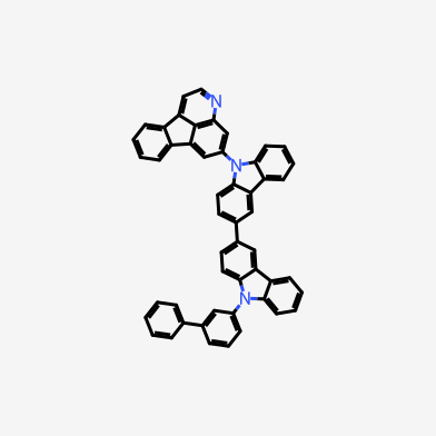 c1ccc(-c2cccc(-n3c4ccccc4c4cc(-c5ccc6c(c5)c5ccccc5n6-c5cc6c7c(ccnc7c5)-c5ccccc5-6)ccc43)c2)cc1